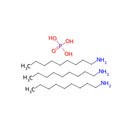 CCCCCCCCCN.CCCCCCCCCN.CCCCCCCCCN.O=P(O)(O)O